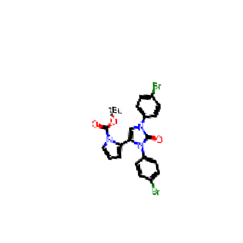 CC(C)(C)OC(=O)n1cccc1-c1cn(-c2ccc(Br)cc2)c(=O)n1-c1ccc(Br)cc1